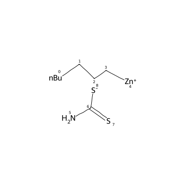 CCCCCC[CH2][Zn+].NC(=S)[S-]